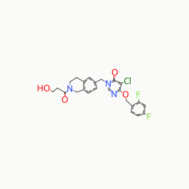 O=C(CCO)N1CCc2cc(Cn3cnc(OCc4ccc(F)cc4F)c(Cl)c3=O)ccc2C1